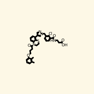 Cc1cccc(OCCCC(=O)N2CCSc3c(-c4cnn(Cc5cccc(C(=O)NCCC(=O)O)c5Cl)c4)cccc32)c1C